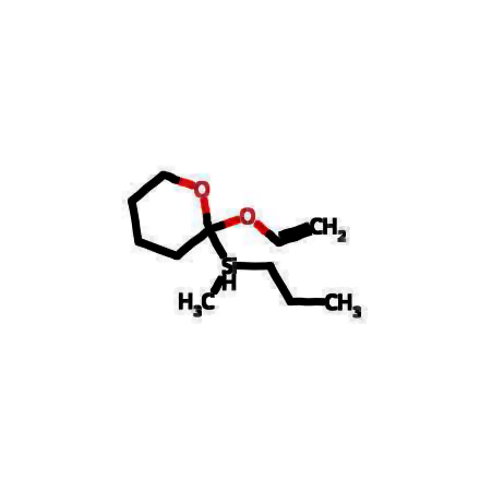 C=COC1([SiH](C)CCC)CCCCO1